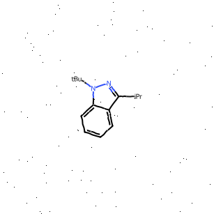 CC(C)c1nn(C(C)(C)C)c2ccccc12